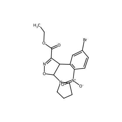 CCOC(=O)C1=NOC(N2CCCC2)C1c1cc(Br)ccc1[N+](=O)[O-]